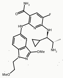 COCCn1nc(OC)c2cc(Nc3nc(N[C@H](C4CC4)[C@H](C)N)c(F)cc3C(N)=O)ccc21